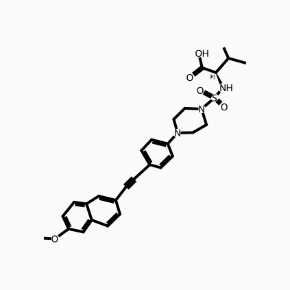 COc1ccc2cc(C#Cc3ccc(N4CCN(S(=O)(=O)N[C@@H](C(=O)O)C(C)C)CC4)cc3)ccc2c1